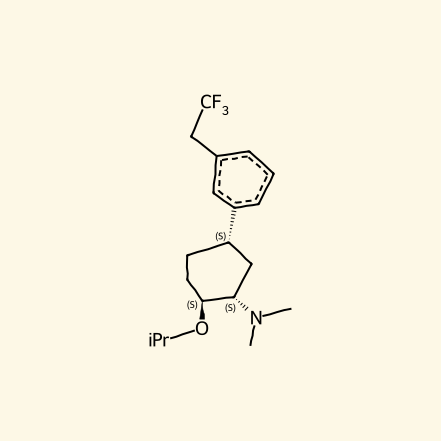 CC(C)O[C@H]1CC[C@H](c2cccc(CC(F)(F)F)c2)C[C@@H]1N(C)C